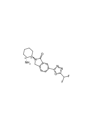 N[C@@H]1CCCC[C@H]1N1Cc2ccc(-c3nnc(C(F)F)o3)cc2C1=O